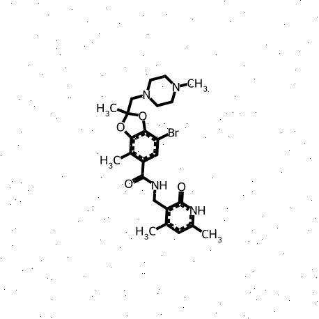 Cc1cc(C)c(CNC(=O)c2cc(Br)c3c(c2C)OC(C)(CN2CCN(C)CC2)O3)c(=O)[nH]1